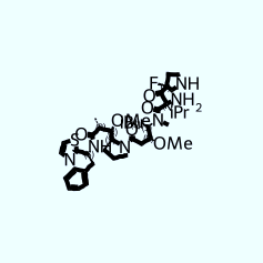 CC[C@H](C)[C@@H]([C@@H](CC(=O)N1CCC[C@H]1[C@H](OC)[C@@H](C)C(=O)N[C@@H](Cc1ccccc1)c1nccs1)OC)N(C)C(=O)[C@](N)(C(=O)[C@]1(F)CCNC1)C(C)C